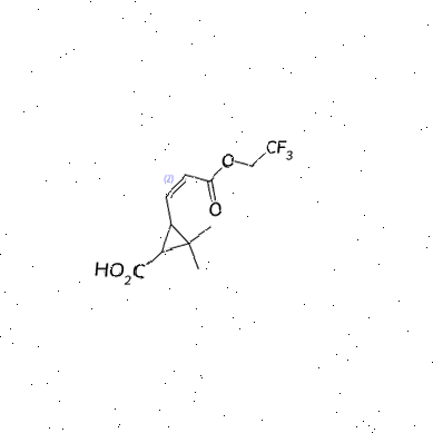 CC1(C)C(/C=C\C(=O)OCC(F)(F)F)C1C(=O)O